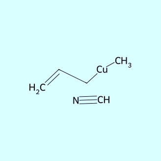 C#N.C=C[CH2][Cu][CH3]